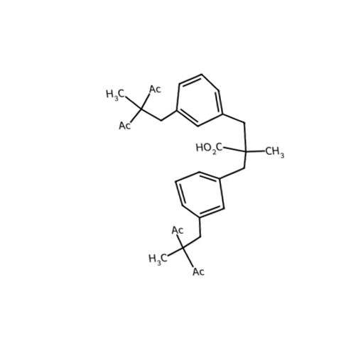 CC(=O)C(C)(Cc1cccc(CC(C)(Cc2cccc(CC(C)(C(C)=O)C(C)=O)c2)C(=O)O)c1)C(C)=O